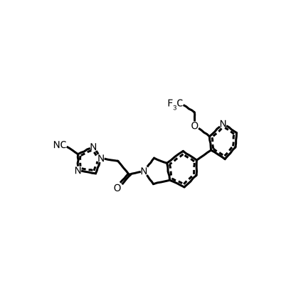 N#Cc1ncn(CC(=O)N2Cc3ccc(-c4cccnc4OCC(F)(F)F)cc3C2)n1